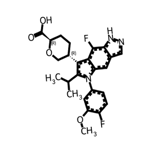 COc1cc(-n2c(C(C)C)c([C@H]3CC[C@H](C(=O)O)OC3)c3c(F)c4[nH]ncc4cc32)ccc1F